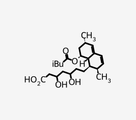 CCC(C)C(=O)O[C@@H]1C[C@H](C)C=C2C=C[C@@H](C)[C@@H](CCC(O)CC(O)CC(=O)O)[C@@H]21